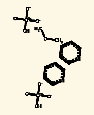 COC.[O-][Cl+3]([O-])([O-])O.[O-][Cl+3]([O-])([O-])O.c1ccncc1.c1ccncc1